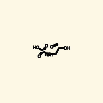 C=O.O=S(=O)(O)O.OCCO